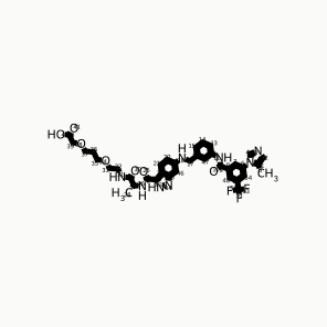 Cc1cncn1-c1cc(C(=O)Nc2cccc(CNc3ccc4c(C(=O)NC(C)C(=O)NCCOCCCOCC(=O)O)[nH]nc4c3)c2)cc(C(F)(F)F)c1